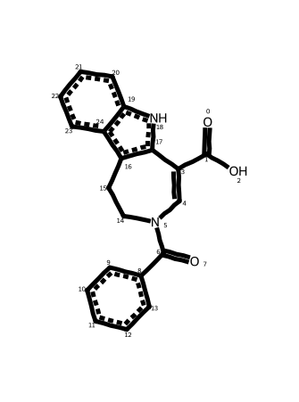 O=C(O)C1=CN(C(=O)c2ccccc2)CCc2c1[nH]c1ccccc21